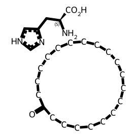 N[C@@H](Cc1c[nH]cn1)C(=O)O.O=C1CCCCCCCCCCCCCCCCCCC1